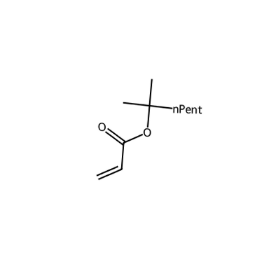 C=CC(=O)OC(C)(C)CCCCC